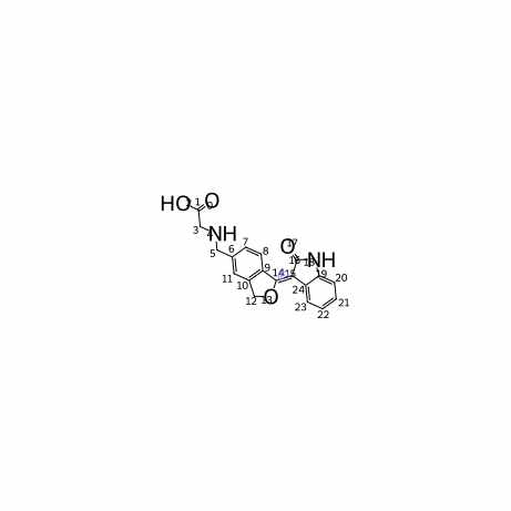 O=C(O)CNCc1ccc2c(c1)CO/C2=C1/C(=O)Nc2ccccc21